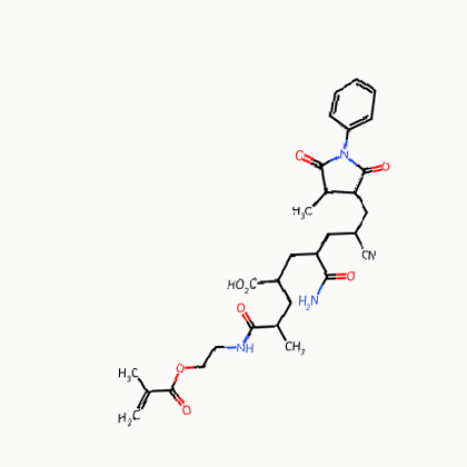 C=C(C)C(=O)OCCNC(=O)C(C)CC(CC(CC(C#N)CC1C(=O)N(c2ccccc2)C(=O)C1C)C(N)=O)C(=O)O